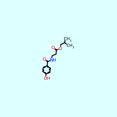 CC(C)COC(=O)CCNC(=O)c1ccc(O)cc1